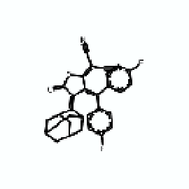 N#CC(C#N)=C1OC(=O)C(=C2C3CC4CC(C3)CC2C4)C1=C(c1ccc(F)cc1)c1ccc(F)cc1